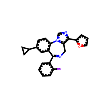 Ic1ccccc1C1=NCc2c(-c3ccco3)ncn2-c2ccc(C3CC3)cc21